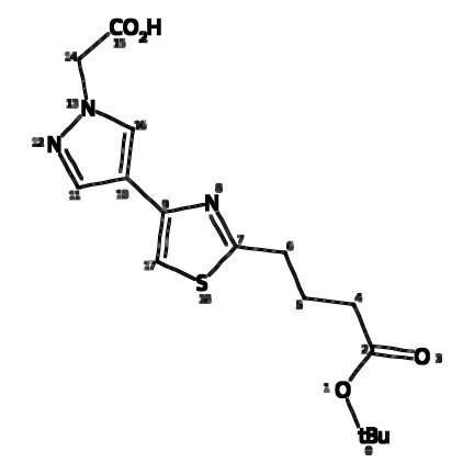 CC(C)(C)OC(=O)CCCc1nc(-c2cnn(CC(=O)O)c2)cs1